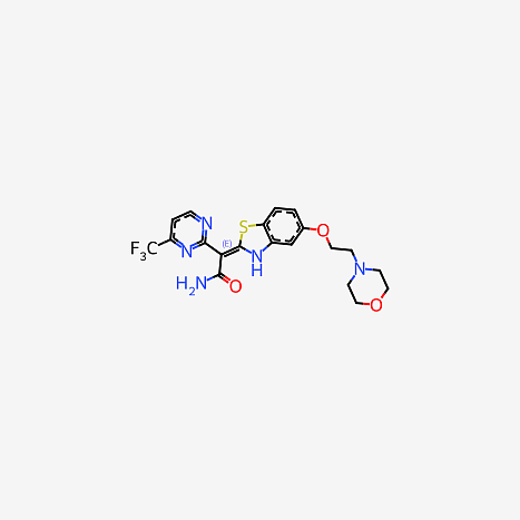 NC(=O)/C(=C1\Nc2cc(OCCN3CCOCC3)ccc2S1)c1nccc(C(F)(F)F)n1